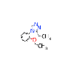 CCOc1ccccc1-n1cnnc1CC